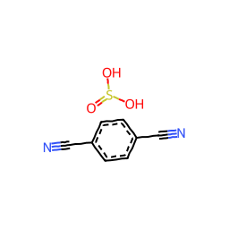 N#Cc1ccc(C#N)cc1.O=S(O)O